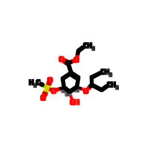 CCOC(=O)C1=C[C@H](OC(CC)CC)[C@H](O)[C@@H](OS(C)(=O)=O)C1